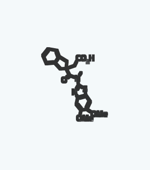 COc1cc2nc(N(C)C(=O)C3(CC(=O)O)Cc4ccccc4C3)sc2cc1OC